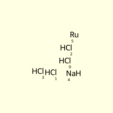 Cl.Cl.Cl.Cl.[NaH].[Ru]